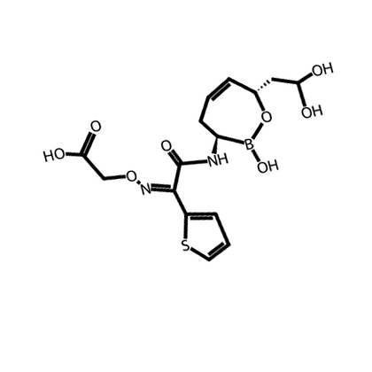 O=C(O)CO/N=C(\C(=O)N[C@H]1CC=C[C@H](CC(O)O)OB1O)c1cccs1